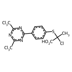 CC(Cl)(Sc1ccc(-c2nc(C(Cl)(Cl)Cl)nc(C(Cl)(Cl)Cl)n2)cc1)C(=O)O